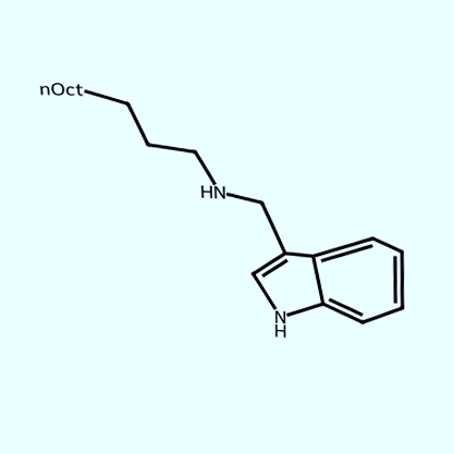 CCCCCCCCCCCNCc1c[nH]c2ccccc12